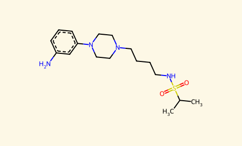 CC(C)S(=O)(=O)NCCCCN1CCN(c2cccc(N)c2)CC1